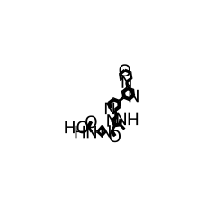 Cc1[nH]c(-c2cc(-c3cncc(N4CCOCC4)c3)ccn2)nc1C(=O)N1CC(NC(=O)O)C1